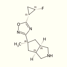 C[C@]1(c2noc([C@@H]3C[C@@H]3F)n2)C[C@H]2CNC[C@H]2C1